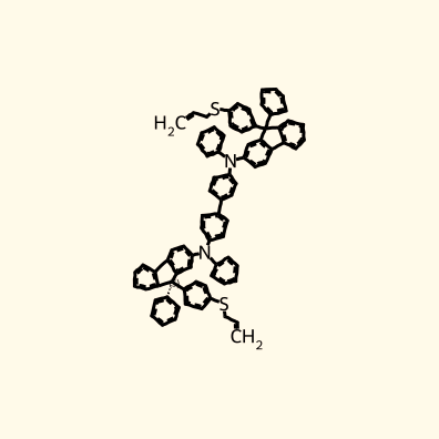 C=CCSc1ccc(C2(c3ccccc3)c3ccccc3-c3ccc(N(c4ccccc4)c4ccc(-c5ccc(N(c6ccccc6)c6ccc7c(c6)[C@@](c6ccccc6)(c6ccc(SCC=C)cc6)c6ccccc6-7)cc5)cc4)cc32)cc1